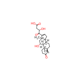 C[C@]12CCC(=O)C=C1CC[C@@H]1[C@@H]2C(O)C[C@]2(C)C(C(=O)C(O)CC(=O)O)=CC[C@@H]12